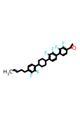 C/C=C/CCc1ccc(C2CCC(c3ccc(-c4ccc(C5CO5)c(F)c4F)c(F)c3F)CC2)c(F)c1F